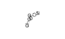 COC(C)(C)C[CH]OOC(=O)c1ccc([Si](C)(C)C)cc1